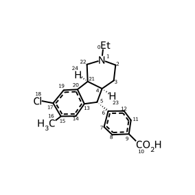 CCN1CC[C@H]2[C@H](c3ccc(C(=O)O)cc3)c3cc(C)c(Cl)cc3[C@H]2C1